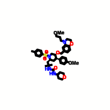 COCCCN1CCOc2ccc(CO[C@H]3CN(S(=O)(=O)c4ccc(C)cc4)[C@H](CC(C)(C)NC(=O)NC4CCOCC4)C[C@@H]3c3ccc(OC)cc3)cc21